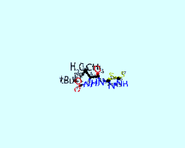 CCC(C)(C)C(NC(=O)OC(C)(C)C)C(=O)Nc1n[nH]c(=S)s1